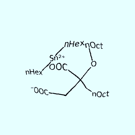 CCCCCCCCOC(CCCCCCCC)(CC(=O)[O-])C(=O)[O-].CCCCC[CH2][Sn+2][CH2]CCCCC